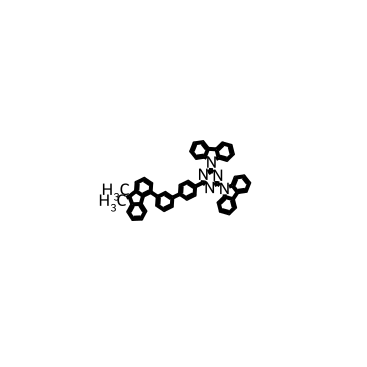 CC1(C)c2ccccc2-c2c(-c3cccc(-c4ccc(-c5nc(-n6c7ccccc7c7ccccc76)nc(-n6c7ccccc7c7ccccc76)n5)cc4)c3)cccc21